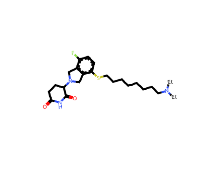 CCN(CC)CCCCCCCCSc1ccc(F)c2c1CN(C1CCC(=O)NC1=O)C2